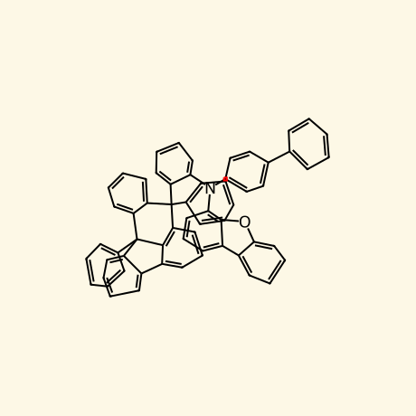 c1ccc(-c2ccc(N(c3ccccc3C3(c4ccccc4)c4ccccc4C4(c5ccccc5)c5ccccc5-c5cccc3c54)c3cccc4c3oc3ccccc34)cc2)cc1